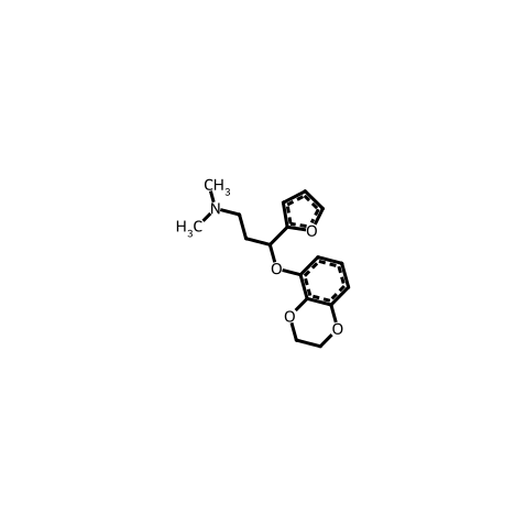 CN(C)CCC(Oc1cccc2c1OCCO2)c1ccco1